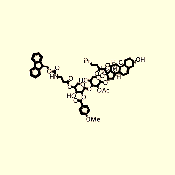 COc1ccc(C(=O)OC2C(OC3C(O)COC(O[C@H]4C[C@H]5[C@@H]6CC=C7C[C@@H](O)CC[C@]7(C)C6CC[C@]5(C)[C@@]4(O)[C@H](C)C(=O)CCC(C)C)C3OC(C)=O)OCC(OC(=O)CCNC(=O)OCC3c4ccccc4-c4ccccc43)C2O)cc1